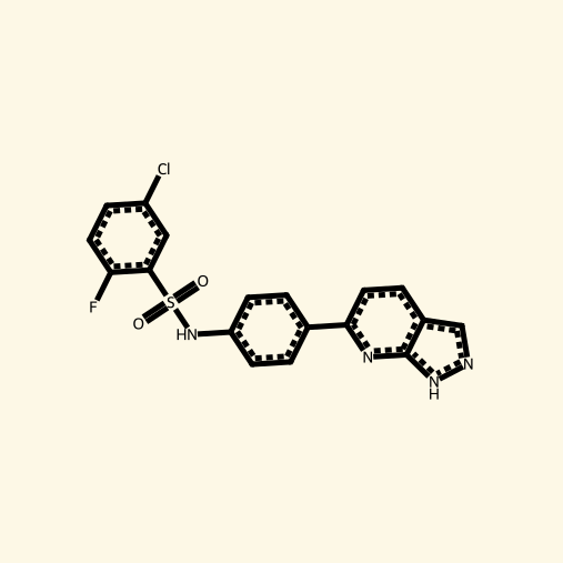 O=S(=O)(Nc1ccc(-c2ccc3cn[nH]c3n2)cc1)c1cc(Cl)ccc1F